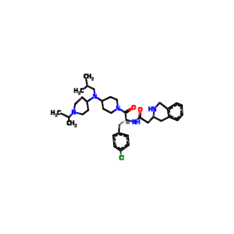 CC(C)CN(C1CCN(C(=O)[C@@H](Cc2ccc(Cl)cc2)NC(=O)CC2Cc3ccccc3CN2)CC1)C1CCN(C(C)C)CC1